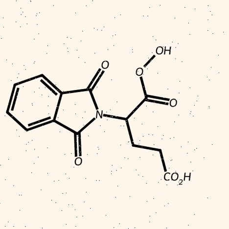 O=C(O)CCC(C(=O)OO)N1C(=O)c2ccccc2C1=O